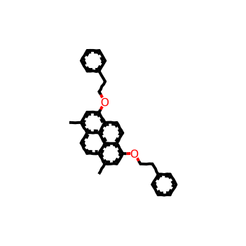 Cc1cc(OCCc2ccccc2)c2ccc3c(OCCc4ccccc4)cc(C)c4ccc1c2c43